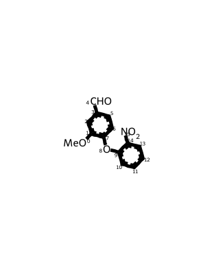 COc1cc(C=O)ccc1Oc1ccccc1[N+](=O)[O-]